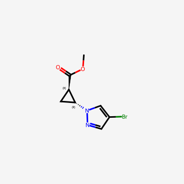 COC(=O)[C@@H]1C[C@H]1n1cc(Br)cn1